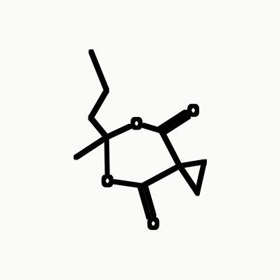 CCCC1(C)OC(=O)C2(CC2)C(=O)O1